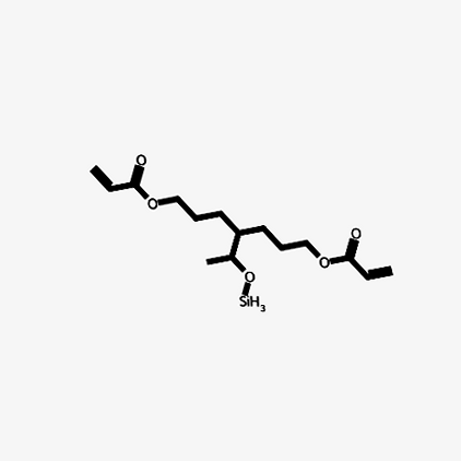 C=CC(=O)OCCCC(CCCOC(=O)C=C)C(C)O[SiH3]